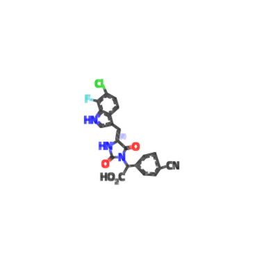 N#Cc1ccc(C(C(=O)O)N2C(=O)N/C(=C\c3c[nH]c4c(F)c(Cl)ccc34)C2=O)cc1